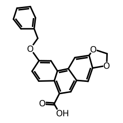 O=C(O)c1cc2cc3c(cc2c2cc(OCc4ccccc4)ccc12)OCO3